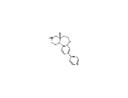 c1cc(-c2ccc3c(c2)OCC[C@H]2CNCCN32)ccn1